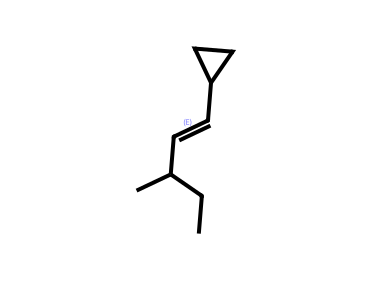 CCC(C)/C=C/C1CC1